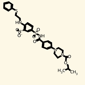 CC(C)COC(=O)N1CCN(c2ccc(C(=O)NS(=O)(=O)c3ccc(NCCSc4ccccc4)c([N+](=O)[O-])c3)cc2)CC1